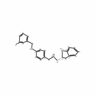 Fc1cccc(COc2ccc(CNC[C@H]3Cc4ccccc4O3)cc2)c1